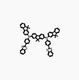 CC1(C)c2ccccc2-c2ccc(N(c3ccc(-c4nc5ccccc5s4)cc3)c3ccc4c(c3)C(C)(C)c3cc(N(c5ccc(-c6nc7ccccc7s6)cc5)c5ccc6c(c5)C(C)(C)c5ccccc5-6)ccc3-4)cc21